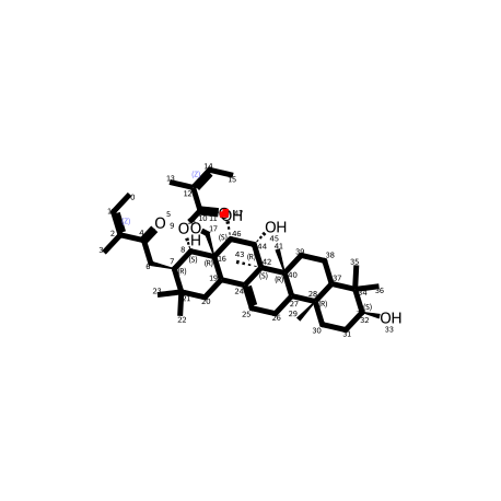 C/C=C(/C)C(=O)C[C@H]1[C@H](OC(=O)/C(C)=C\C)[C@@]2(CO)C(CC1(C)C)C1=CCC3[C@@]4(C)CC[C@H](O)C(C)(C)C4CC[C@@]3(C)[C@]1(C)[C@@H](O)[C@H]2O